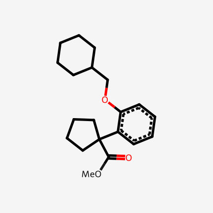 COC(=O)C1(c2ccccc2OCC2CCCCC2)CCCC1